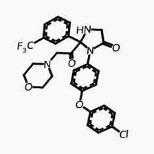 O=C1CNC(C(=O)CN2CCOCC2)(c2cccc(C(F)(F)F)c2)N1c1ccc(Oc2ccc(Cl)cc2)cc1